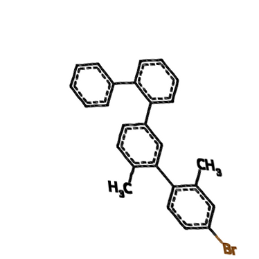 Cc1cc(Br)ccc1-c1cc(-c2ccccc2-c2ccccc2)ccc1C